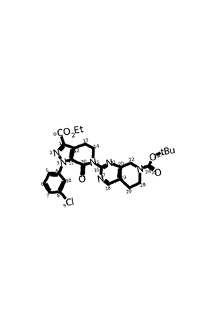 CCOC(=O)c1nn(-c2cccc(Cl)c2)c2c1CCN(c1ncc3c(n1)CN(C(=O)OC(C)(C)C)CC3)C2=O